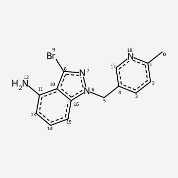 Cc1ccc(Cn2nc(Br)c3c(N)cccc32)cn1